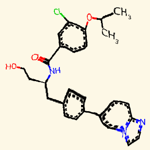 CC(C)Oc1ccc(C(=O)N[C@H](CCO)Cc2ccc(-c3ccc4nccn4c3)cc2)cc1Cl